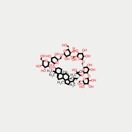 C[C@H](CC[C@@H](O[C@@H]1O[C@H](CO[C@@H]2O[C@H](CO)[C@@H](O)[C@H](O)[C@H]2O)[C@@H](O)[C@H](O)[C@H]1O[C@H]1O[C@@H](CO)[C@H](O)[C@@H](O)[C@@H]1O)C(C)(C)O)C1CC[C@@]2(C)C3CC=C4C(CC[C@H](O[C@@H]5O[C@H](CO[C@@H]6O[C@H](CO)[C@@H](O)[C@H](O)[C@H]6O)[C@@H](O)[C@H](O)[C@H]5C5O[C@@H](CO)[C@H](O)[C@@H](O)[C@@H]5O)C4(C)C)[C@]3(C)CC[C@]12C